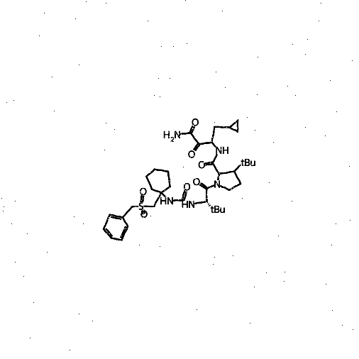 CC(C)(C)C1CCN(C(=O)[C@@H](NC(=O)NC2(CS(=O)(=O)Cc3ccccc3)CCCCC2)C(C)(C)C)C1C(=O)NC(CC1CC1)C(=O)C(N)=O